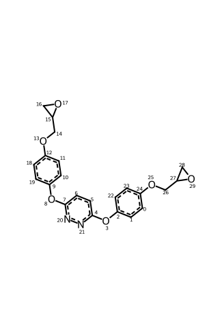 c1cc(Oc2ccc(Oc3ccc(OCC4CO4)cc3)nn2)ccc1OCC1CO1